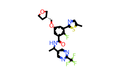 Cc1cnc(-c2cc(OC[C@@H]3CCOC3)cc(C(=O)NC(C)c3cnc(C(F)(F)F)nc3)c2F)s1